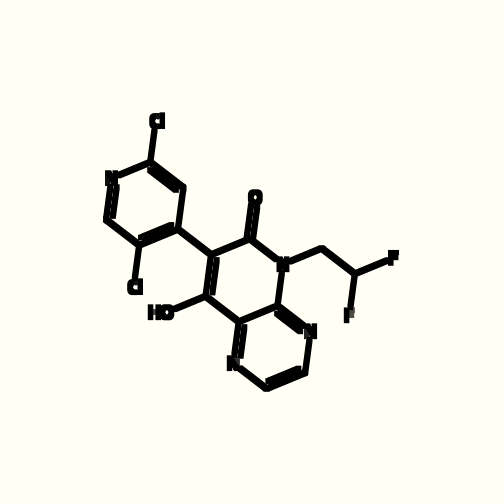 O=c1c(-c2cc(Cl)ncc2Cl)c(O)c2nccnc2n1CC(F)F